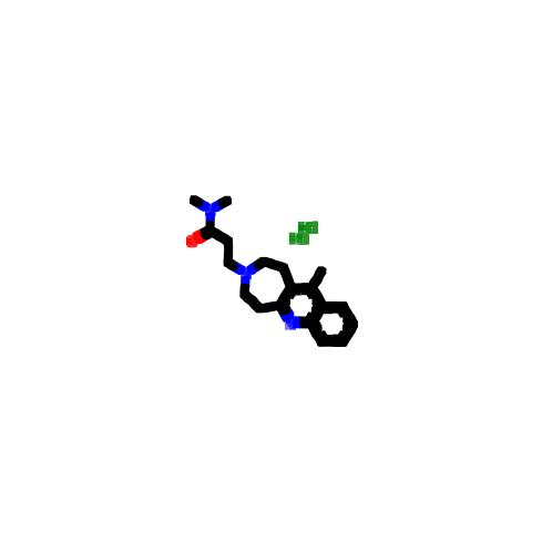 Cc1c2c(nc3ccccc13)CCN(CCC(=O)N(C)C)CC2.Cl.Cl